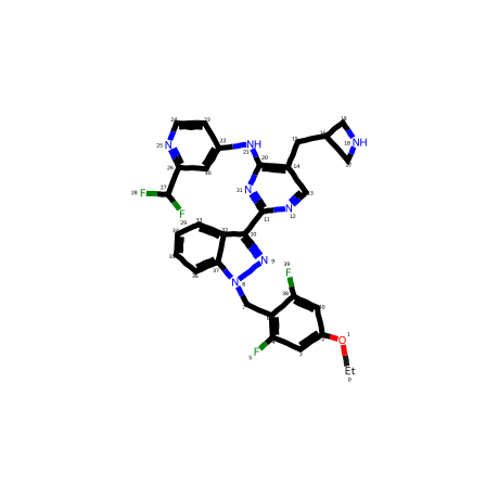 CCOc1cc(F)c(Cn2nc(-c3ncc(CC4CNC4)c(Nc4ccnc(C(F)F)c4)n3)c3ccccc32)c(F)c1